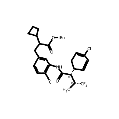 C[C@H]([C@H](C(=O)Nc1cc(CC(C(=O)OC(C)(C)C)C2CCC2)ccc1Cl)C1C=CC(Cl)=CC1)C(F)(F)F